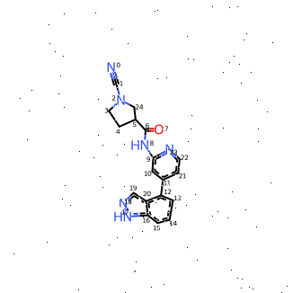 N#CN1CCC(C(=O)Nc2cc(-c3cccc4[nH]ncc34)ccn2)C1